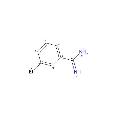 CCc1[c]ccc(C(=N)N)c1